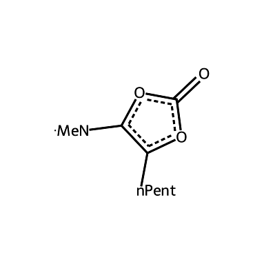 CCCCCc1oc(=O)oc1[N]C